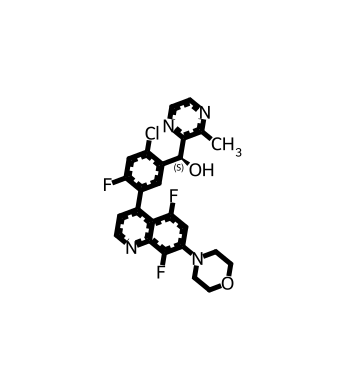 Cc1nccnc1[C@@H](O)c1cc(-c2ccnc3c(F)c(N4CCOCC4)cc(F)c23)c(F)cc1Cl